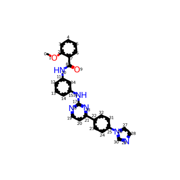 COc1ccccc1C(=O)Nc1cccc(Nc2nccc(-c3ccc(-n4ccnc4)cc3)n2)c1